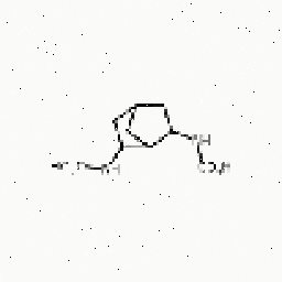 O=C(O)NC1CC2CC(NC(=O)O)C1C2